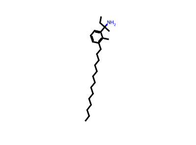 CCCCCCCCCCCCCCc1cccc(C(C)(N)CC)c1C